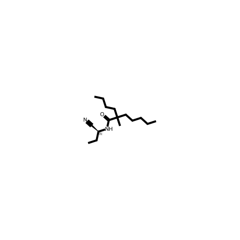 CCCCCC(C)(CCCC)C(=O)N[C@H](C#N)CC